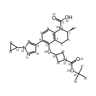 C[C@H]1CCc2c(ccc(-c3cnn(C4CC4)c3)c2OC2CN(C(=O)OC(C)(C)C)C2)N1C(=O)O